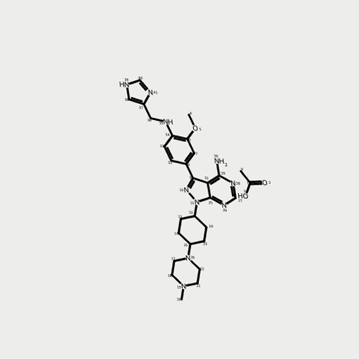 CC(=O)O.COc1cc(-c2nn(C3CCC(N4CCN(C)CC4)CC3)c3ncnc(N)c23)ccc1NCc1c[nH]cn1